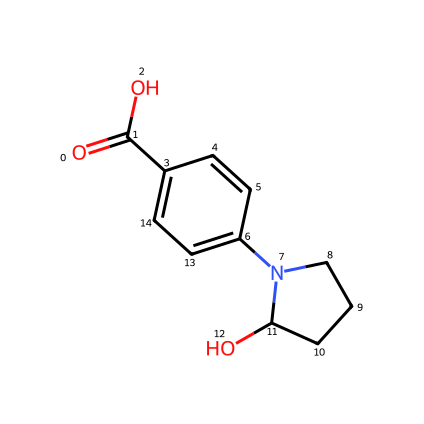 O=C(O)c1ccc(N2CCCC2O)cc1